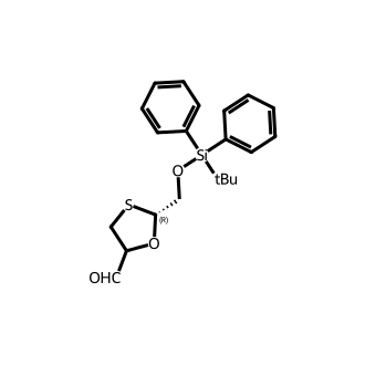 CC(C)(C)[Si](OC[C@@H]1OC(C=O)CS1)(c1ccccc1)c1ccccc1